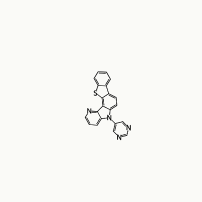 c1ccc2c(c1)sc1c2ccc2c1c1ncccc1n2-c1cncnc1